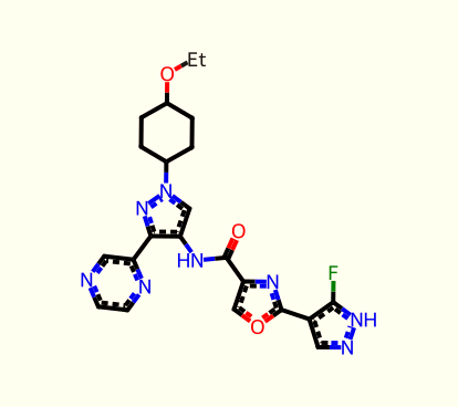 CCOC1CCC(n2cc(NC(=O)c3coc(-c4cn[nH]c4F)n3)c(-c3cnccn3)n2)CC1